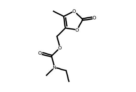 CCN(C)C(=O)OCc1oc(=O)oc1C